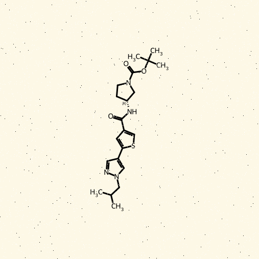 CC(C)Cn1cc(-c2cc(C(=O)N[C@@H]3CCN(C(=O)OC(C)(C)C)C3)cs2)cn1